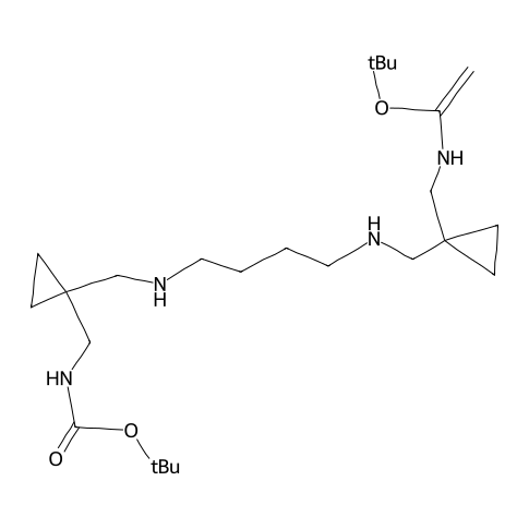 C=C(NCC1(CNCCCCNCC2(CNC(=O)OC(C)(C)C)CC2)CC1)OC(C)(C)C